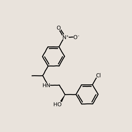 CC(NC[C@H](O)c1cccc(Cl)c1)c1ccc([N+](=O)[O-])cc1